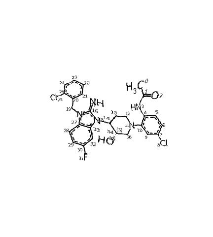 CC(=O)Nc1ccc(Cl)cc1N1CCC(n2c(=N)n(Cc3ccccc3Cl)c3ccc(F)cc32)[C@@H](O)C1